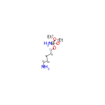 CCO[Si](N)(OCC)OCCCCCN